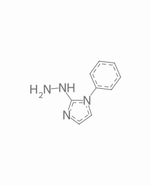 NNc1nccn1-c1ccccc1